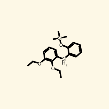 CCOc1cccc([SiH2]c2ccccc2O[Si](C)(C)C)c1OCC